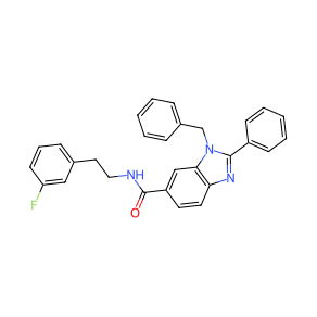 O=C(NCCc1cccc(F)c1)c1ccc2nc(-c3ccccc3)n(Cc3ccccc3)c2c1